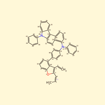 C=Cc1c(/C=C\C)oc2cccc(-c3ccc(N(c4ccccc4)c4cccc5c4ccc4c5c5ccccc5n4-c4ccccc4)cc3)c12